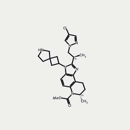 COC(=O)N1c2ccc3c(nc([C@H](C)Cn4cc(Cl)cn4)n3C3CC4(CCNC4)C3)c2CC[C@@H]1C